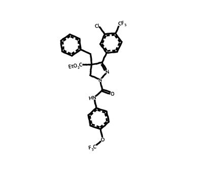 CCOC(=O)C1(Cc2ccccc2)CN(C(=O)Nc2ccc(OC(F)(F)F)cc2)N=C1c1ccc(C(F)(F)F)c(Cl)c1